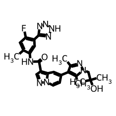 Cc1cc(F)c(-c2nn[nH]n2)cc1NC(=O)c1cnn2ccc(-c3c(C)nn(CC(C)(C)O)c3C)cc12